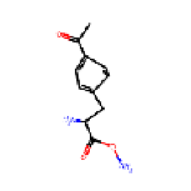 CC(=O)c1ccc(C[C@H](N)C(=O)ON)cc1